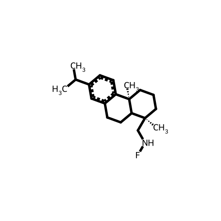 CC(C)c1ccc2c(c1)CCC1[C@](C)(CNF)CCC[C@]21C